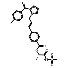 Cc1ccc(C(=O)c2cccn2C/C=C/c2ccc(C(=O)O[C@@H](C)C(=O)NS(C)(=O)=O)cc2)cc1